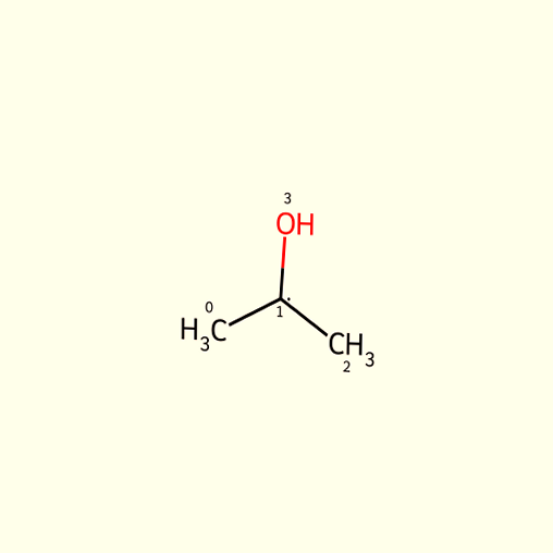 C[C](C)O